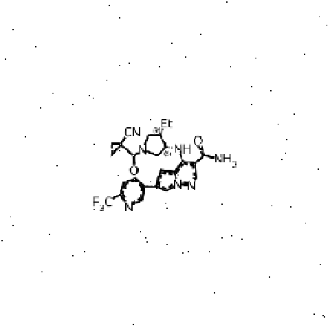 CC[C@@H]1CN(C(=O)C2(C#N)CC2)C[C@H]1Nc1c(C(N)=O)cnn2cc(-c3ccc(C(F)(F)F)nc3)cc12